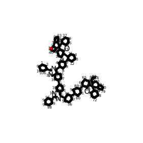 c1ccc(-c2nc(-c3ccc(-c4ccccc4-c4cccc5c4Oc4ccccc4C54c5ccccc5-c5ccccc54)cc3)c3ccc(-c4ccc5c(-c6cccc(-c7ccc(-c8cccc9c8Oc8ccccc8C98c9ccccc9-c9ccccc98)cc7)c6)nc(-c6ccccc6)nc5c4)cc3n2)cc1